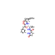 CC[C@H](C)[C@@H](CO[C@@H](Cc1ccccc1)C(=O)N[C@@H](CCSC)C(=O)OC)NC(=O)C1CCC(=O)N1